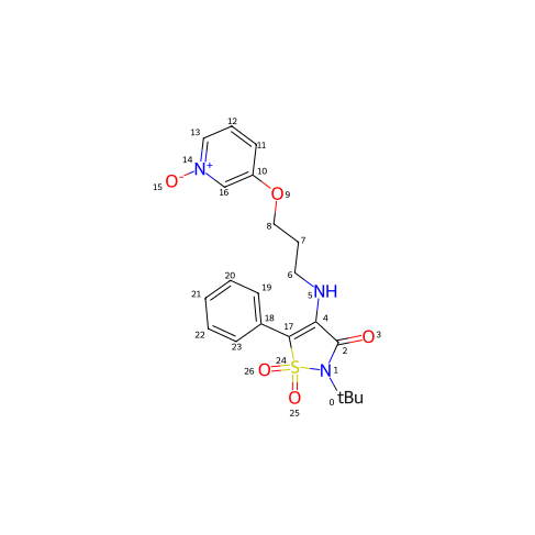 CC(C)(C)N1C(=O)C(NCCCOc2ccc[n+]([O-])c2)=C(c2ccccc2)S1(=O)=O